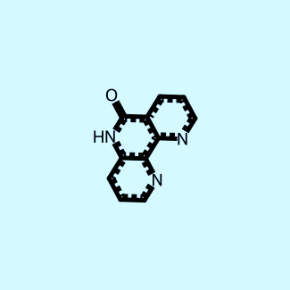 O=c1[nH]c2cccnc2c2ncccc12